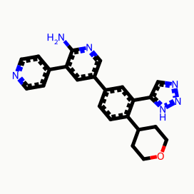 Nc1ncc(-c2ccc(C3CCOCC3)c(-c3cnn[nH]3)c2)cc1-c1ccncc1